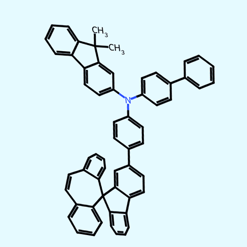 CC1(C)c2ccccc2-c2ccc(N(c3ccc(-c4ccccc4)cc3)c3ccc(-c4ccc5c(c4)C4(c6ccccc6C=Cc6ccccc64)c4ccccc4-5)cc3)cc21